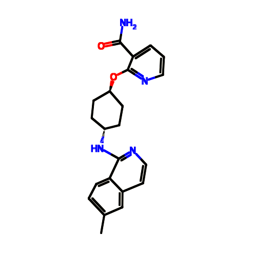 Cc1ccc2c(N[C@H]3CC[C@H](Oc4ncccc4C(N)=O)CC3)nccc2c1